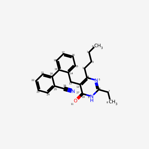 CCCCc1nc(CC)[nH]c(=O)c1Cc1ccccc1-c1ccccc1C#N